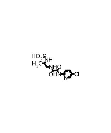 CC(CNC(=O)C(=O)Nc1ccc(Cl)cn1)NC(=O)O